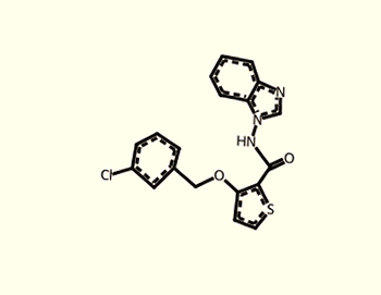 O=C(Nn1cnc2ccccc21)c1sccc1OCc1cccc(Cl)c1